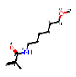 C=C(C)C(=O)NCCCCCCOC